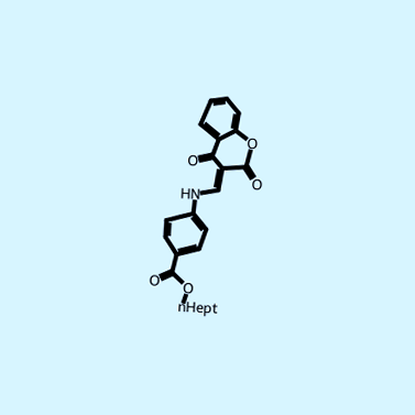 CCCCCCCOC(=O)c1ccc(NC=C2C(=O)Oc3ccccc3C2=O)cc1